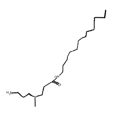 CCCCCCCCCCCCNC(=O)CCN(C)CCCN